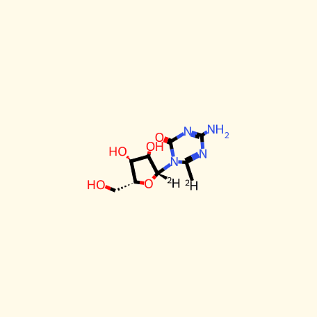 [2H]c1nc(N)nc(=O)n1[C@]1([2H])O[C@H](CO)[C@H](O)C1O